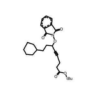 CC(C)(C)OC(=O)CCC#CC(CCC1CCCCC1)ON1C(=O)c2ccccc2C1=O